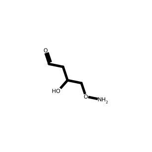 NOCC(O)C[C]=O